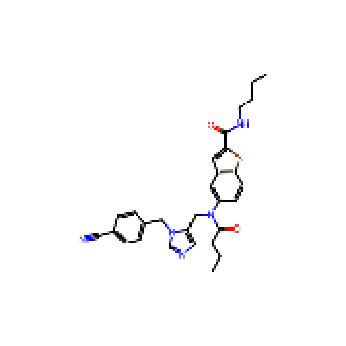 CCCCNC(=O)c1cc2cc(N(Cc3cncn3Cc3ccc(C#N)cc3)C(=O)CCC)ccc2s1